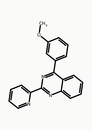 COc1cccc(-c2nc(-c3ccccn3)nc3ccccc23)c1